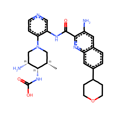 C[C@H]1CN(c2ccncc2NC(=O)c2nc3cc(C4CCOCC4)ccc3cc2N)C[C@@H](N)[C@H]1NC(=O)O